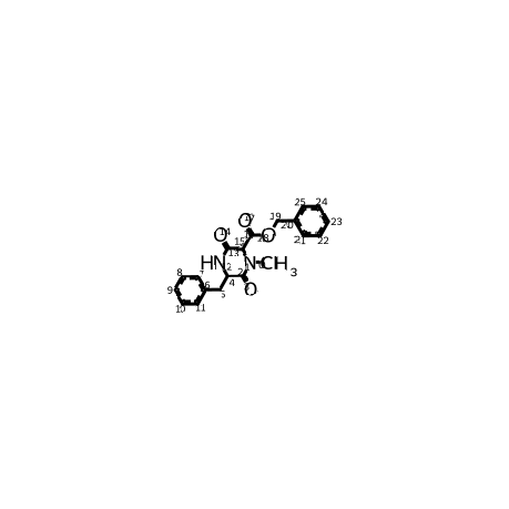 CN1C(=O)C(Cc2ccccc2)NC(=O)C1C(=O)OCc1ccccc1